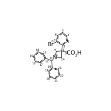 O=C(O)C1(c2ccccc2Br)CN(C(c2ccccc2)c2ccccc2)C1